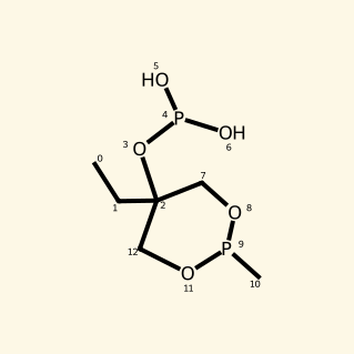 CCC1(OP(O)O)COP(C)OC1